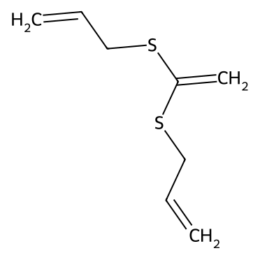 C=CCSC(=C)SCC=C